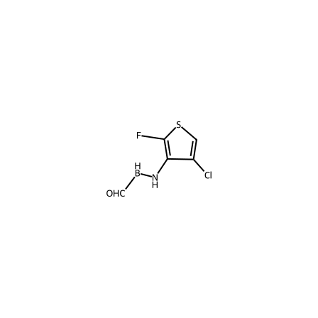 O=CBNc1c(Cl)csc1F